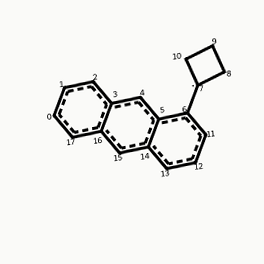 c1ccc2cc3c([C]4CCC4)cccc3cc2c1